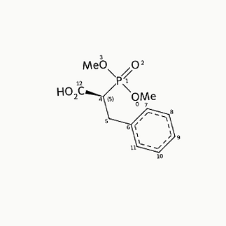 COP(=O)(OC)[C@@H](Cc1ccccc1)C(=O)O